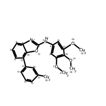 COc1cc(Nc2nc3cccc(-c4cccc(C)c4)c3o2)cc(OC)c1OC